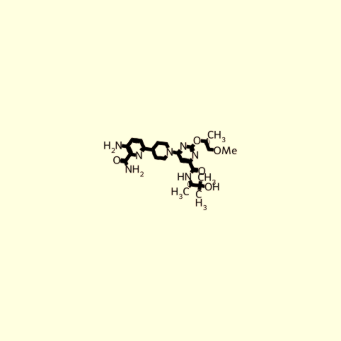 COC[C@@H](C)Oc1nc(C(=O)N[C@H](C)C(C)(C)O)cc(N2CCC(c3ccc(N)c(C(N)=O)n3)CC2)n1